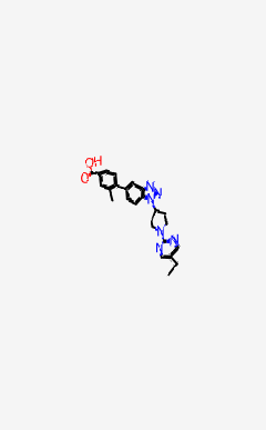 CCc1cnc(N2CCC(n3nnc4cc(-c5ccc(C(=O)O)cc5C)ccc43)CC2)nc1